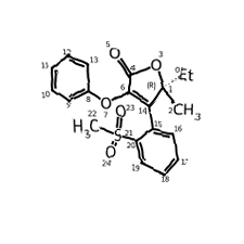 CC[C@@]1(C)OC(=O)C(Oc2ccccc2)=C1c1ccccc1S(C)(=O)=O